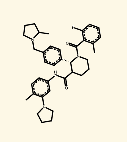 Cc1ccc(NC(=O)C2CCCN(C(=O)c3c(C)cccc3F)[C@H]2c2ccc(CN3CCCC3C)cc2)cc1N1CCCC1